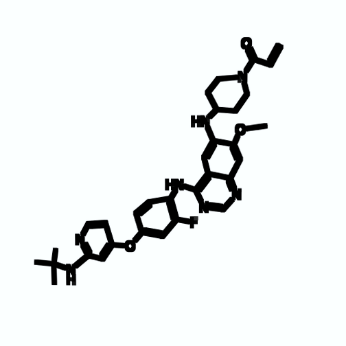 C=CC(=O)N1CCC(Nc2cc3c(Nc4ccc(Oc5ccnc(NC(C)(C)C)c5)cc4F)ncnc3cc2OC)CC1